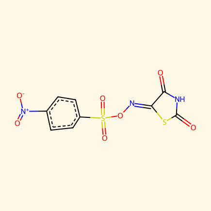 O=C1NC(=O)C(=NOS(=O)(=O)c2ccc([N+](=O)[O-])cc2)S1